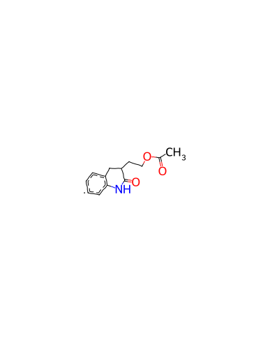 CC(=O)OCCC1Cc2cc[c]cc2NC1=O